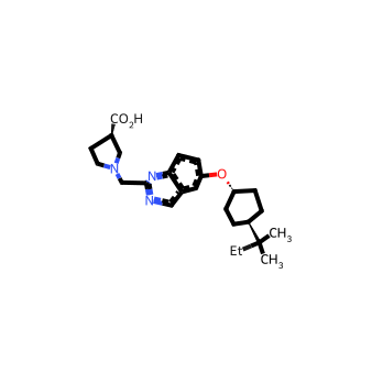 CCC(C)(C)[C@H]1CC[C@H](Oc2ccc3nc(CN4CC[C@@H](C(=O)O)C4)ncc3c2)CC1